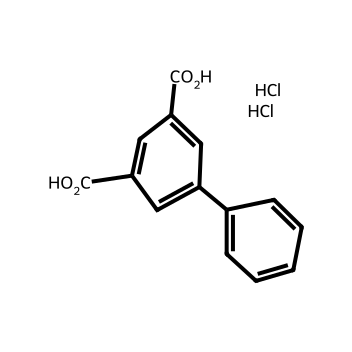 Cl.Cl.O=C(O)c1cc(C(=O)O)cc(-c2ccccc2)c1